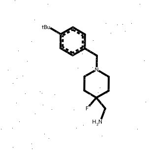 CC(C)(C)c1ccc(CN2CCC(F)(CN)CC2)cc1